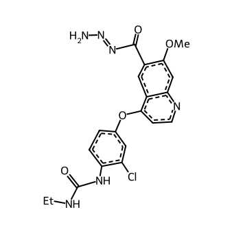 CCNC(=O)Nc1ccc(Oc2ccnc3cc(OC)c(C(=O)N=NN)cc23)cc1Cl